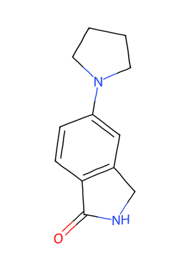 O=C1NCc2cc(N3CCCC3)ccc21